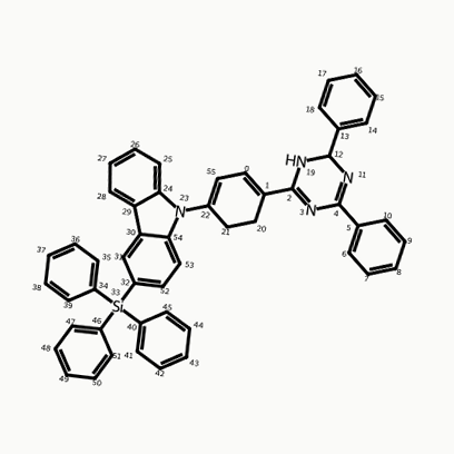 C1=C(C2=NC(c3ccccc3)=NC(c3ccccc3)N2)CCC(n2c3ccccc3c3cc([Si](c4ccccc4)(c4ccccc4)c4ccccc4)ccc32)=C1